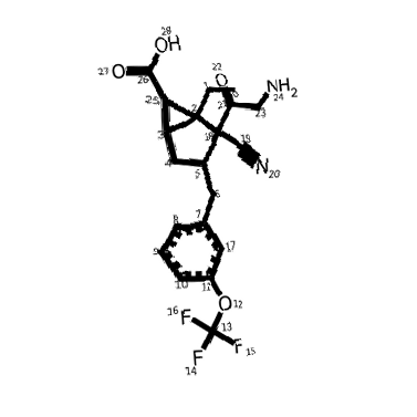 CCC12C(CC(Cc3cccc(OC(F)(F)F)c3)C1(C#N)C(=O)CN)C2C(=O)O